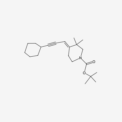 CC(C)(C)OC(=O)N1CC/C(=C\C#CC2CCCCC2)C(C)(C)C1